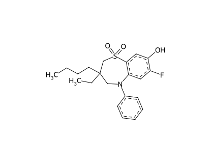 CCCCC1(CC)CN(c2ccccc2)c2cc(F)c(O)cc2S(=O)(=O)C1